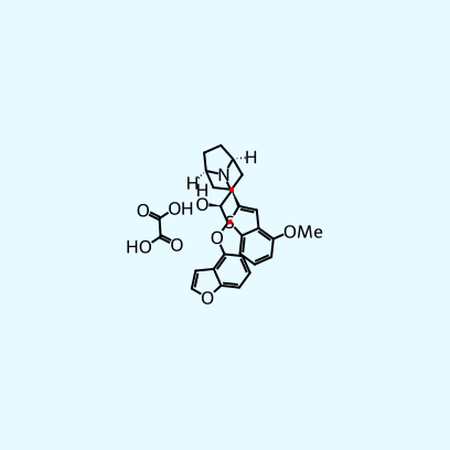 COc1cccc2sc([C@H]3C[C@H]4CC[C@@H](C3)N4C[C@H](O)COc3cccc4occc34)cc12.O=C(O)C(=O)O